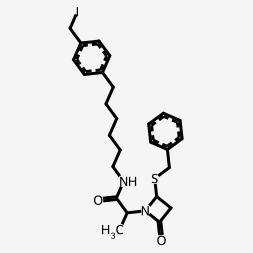 CC(C(=O)NCCCCCCc1ccc(CI)cc1)N1C(=O)CC1SCc1ccccc1